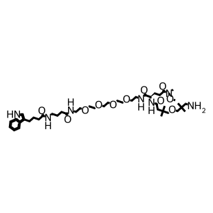 CON(C)C(=O)CC[C@@H](NC(=O)CC(C)(C)COCC(C)(C)CN)C(=O)NCCOCCOCCOCCOCCNC(=O)CCCNC(=O)CCCc1c[nH]c2ccccc12